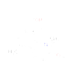 Cc1ccc(CO)c2c1CCC(=O)N2C